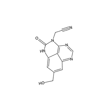 N#CCN1C(=O)Nc2cc(CO)cc3ncnc1c23